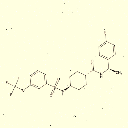 C[C@@H](NC(=O)[C@H]1CC[C@H](NS(=O)(=O)c2cccc(OC(F)(F)F)c2)CC1)c1ccc(F)cc1